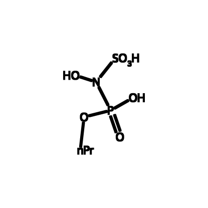 C[CH]COP(=O)(O)N(O)S(=O)(=O)O